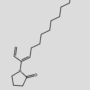 C=CC(=CCCCCCCCCCCCCCCCCCC)N1CCCC1=O